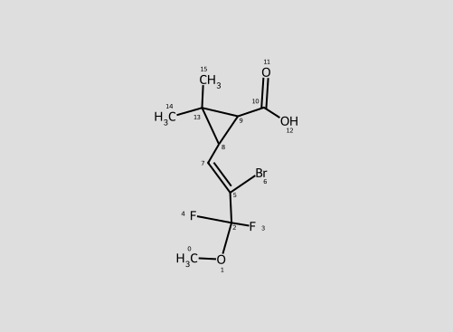 COC(F)(F)/C(Br)=C/C1C(C(=O)O)C1(C)C